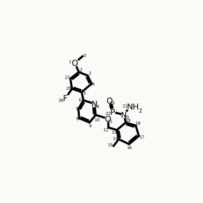 COc1ccc(-c2cccc(OCc3c(C)cccc3N(N)P=O)n2)c(F)c1